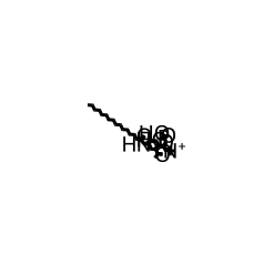 CCCCCCCCCCCCCCCC(=O)Nc1ccc(C(C[N+](C)(C)C)OP(=O)(O)O)c(C(C)=O)c1